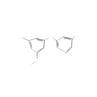 COc1cc(Cl)cc(Oc2cccc(Cl)c2)c1